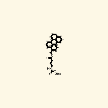 CC(C)(C)OC(=O)NCCCC(=O)OCc1ccc2c3cccc4cccc(c5cccc1c52)c43